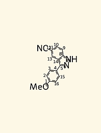 COc1ccc(-c2n[nH]c3ccc(C#N)cc23)cc1